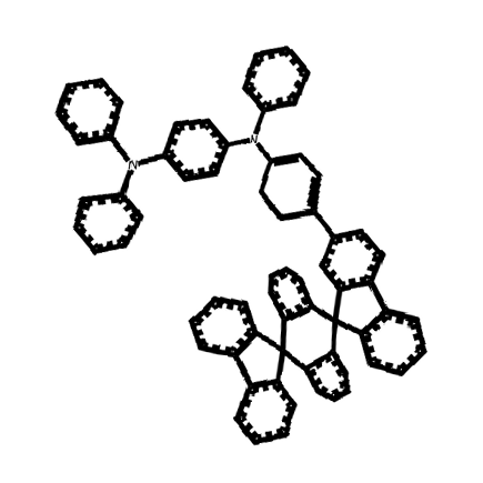 C1=C(c2ccc3c(c2)C2(c4ccccc4-3)c3ccccc3C3(c4ccccc4-c4ccccc43)c3ccccc32)CCC(N(c2ccccc2)c2ccc(N(c3ccccc3)c3ccccc3)cc2)=C1